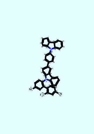 N#Cc1ccc(-n2c3ccccc3c3cc(-c4ccc(-n5c6ccccc6c6ccccc65)cc4)ccc32)c(-c2ccc(C#N)cc2C(F)(F)F)c1